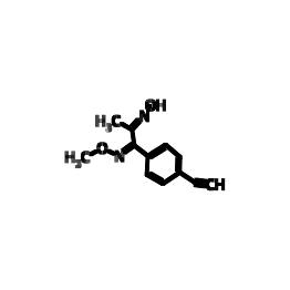 C#Cc1ccc(C(=NOC)C(C)=NO)cc1